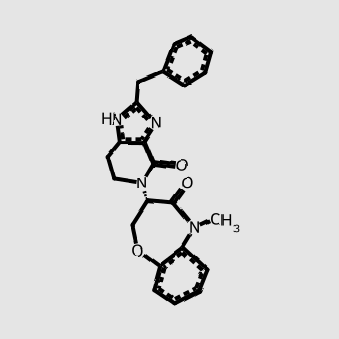 CN1C(=O)[C@@H](N2CCc3[nH]c(Cc4ccccc4)nc3C2=O)COc2ccccc21